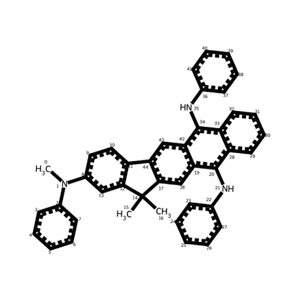 CN(c1ccccc1)c1ccc2c(c1)C(C)(C)c1cc3c(Nc4ccccc4)c4ccccc4c(Nc4ccccc4)c3cc1-2